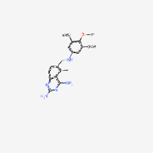 COc1cc(NCc2ccc3nc(N)nc(N)c3c2C)cc(OC)c1OC(C)C